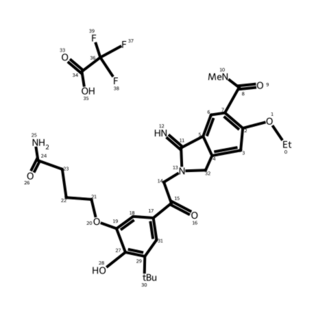 CCOc1cc2c(cc1C(=O)NC)C(=N)N(CC(=O)c1cc(OCCCC(N)=O)c(O)c(C(C)(C)C)c1)C2.O=C(O)C(F)(F)F